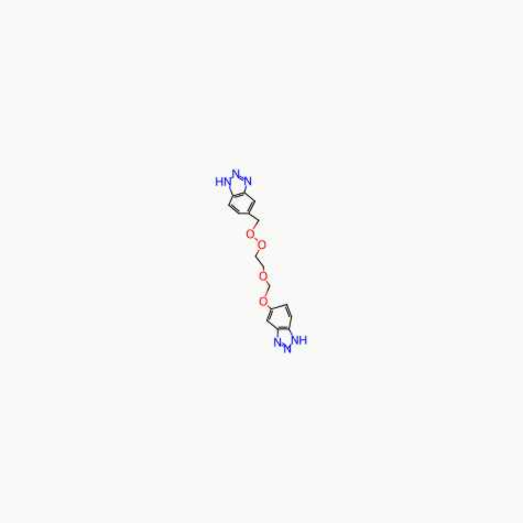 c1cc2[nH]nnc2cc1COOCCOCOc1ccc2[nH]nnc2c1